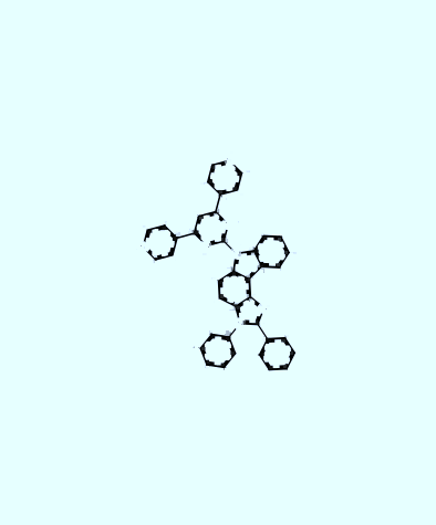 c1ccc(-c2nc3c4c5ccccc5n(-c5nc(-c6ccncc6)cc(-c6ccncc6)n5)c4ccc3n2-c2ccccc2)cc1